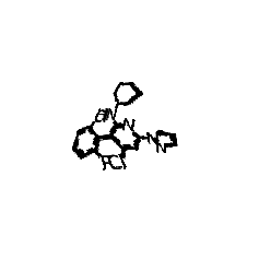 Fc1cccc(Cl)c1-c1c(Cl)cc(-n2cccn2)nc1NC1CCCCC1